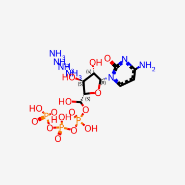 N.N.N.N.Nc1ccn([C@@H]2O[C@H](C(O)OP(=O)(O)OP(=O)(O)OP(=O)(O)O)[C@@H](O)[C@@H]2O)c(=O)n1